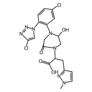 Cn1ccc(CC(C(=O)O)N2CC(O)N(c3cc(Cl)ccc3-n3cc(Cl)nn3)CC2=O)n1